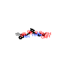 Cc1cc(C)c(C(C)(C)CC(=O)Nc2ccn(C3O[C@H](CO)[C@@H](O)[C@@H]3O)c(=O)n2)c(OC(=O)CCCC(=O)NC(Cc2ccccc2)C(=O)OC(C)(C)C)c1